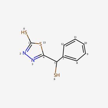 Sc1nnc(C(S)c2ccccc2)s1